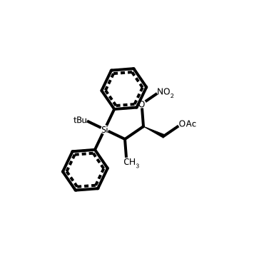 CC(=O)OC[C@H](O[N+](=O)[O-])C(C)[Si](c1ccccc1)(c1ccccc1)C(C)(C)C